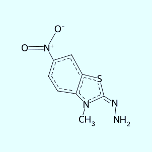 Cn1c(=NN)sc2cc([N+](=O)[O-])ccc21